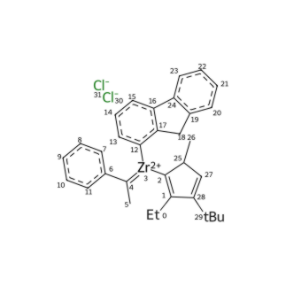 CCC1=[C](/[Zr+2](=[C](\C)c2ccccc2)[c]2cccc3c2Cc2ccccc2-3)C(C)C=C1C(C)(C)C.[Cl-].[Cl-]